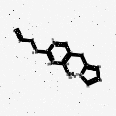 C=CCSc1ncc(Cc2cccs2)c(N)n1